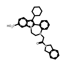 O=C(O)c1ccc2c(C3CCCCC3)c3n(c2c1)CCN(CC(=O)N1Cc2ccccc2C1)c1ccccc1-3